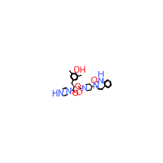 Cc1cc(CC(OC(=O)N2CCC(N3CCc4ccccc4NC3=O)CC2)C(=O)N2CCNCC2)cc(C)c1O